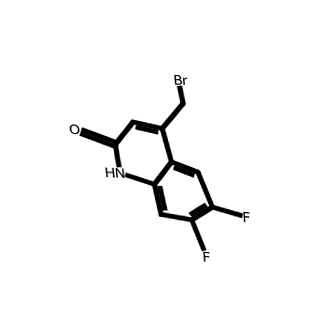 O=c1cc(CBr)c2cc(F)c(F)cc2[nH]1